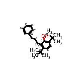 CC(C)(C)c1ccc(C(C)(C)C)c(CCCc2ccccc2)c1O